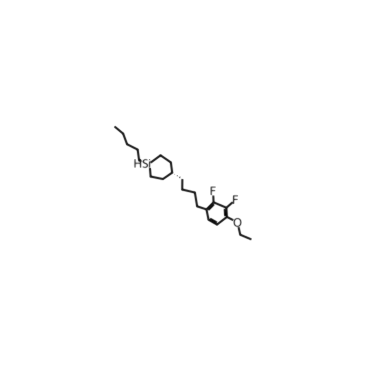 CCCCC[Si@H]1CC[C@H](CCCCc2ccc(OCC)c(F)c2F)CC1